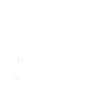 CC1(C)COB(c2cccc(Cl)c2)O1